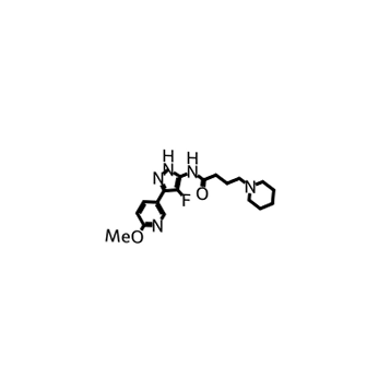 COc1ccc(-c2n[nH]c(NC(=O)CCCN3CCCCC3)c2F)cn1